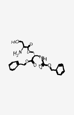 N[C@@H](CO)C(=O)OC[C@H](NC(=O)OCc1ccccc1)C(=O)OCc1ccccc1